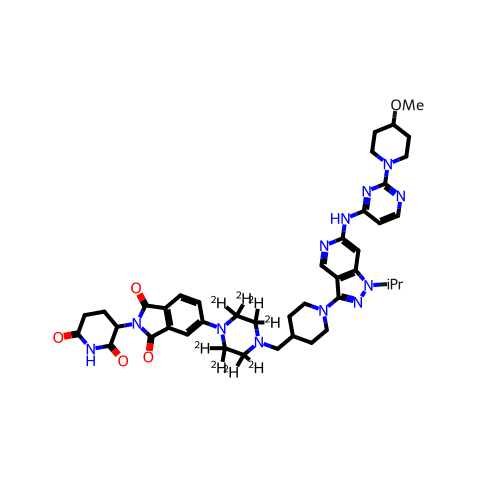 [2H]C1([2H])N(CC2CCN(c3nn(C(C)C)c4cc(Nc5ccnc(N6CCC(OC)CC6)n5)ncc34)CC2)C([2H])([2H])C([2H])([2H])N(c2ccc3c(c2)C(=O)N(C2CCC(=O)NC2=O)C3=O)C1([2H])[2H]